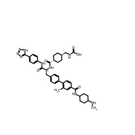 CNC1CCC(NC(=O)c2ccc(-c3ccc(C[C@H](NC(=O)[C@H]4CC[C@H](CNC(=O)O)CC4)C(=O)Nc4ccc(-c5nnn[nH]5)cc4)cc3)c(C)c2)CC1